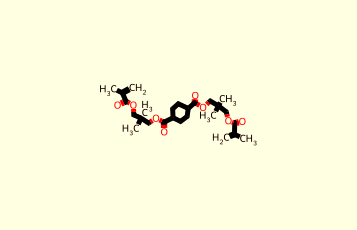 C=C(C)C(=O)OCC(C)(C)COC(=O)C1CCC(C(=O)OCC(C)(C)COC(=O)C(=C)C)CC1